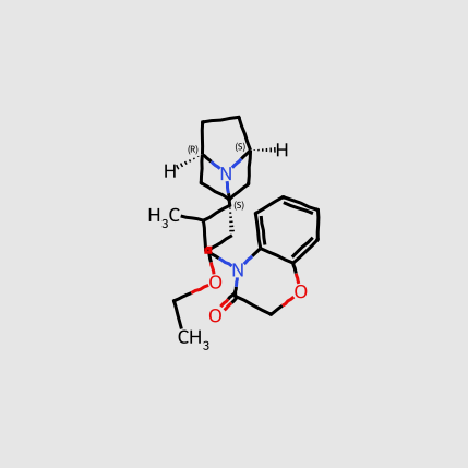 CCOCC[C@@H]1C[C@H]2CC[C@@H](C1)N2CC(C)CN1C(=O)COc2ccccc21